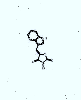 CCN1C(=O)O/C(=C\c2c[nH]c3cccnc23)C1=O